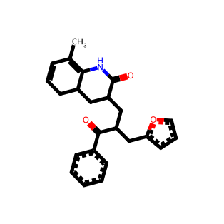 CC1=C2NC(=O)C(CC(Cc3ccco3)C(=O)c3ccccc3)CC2CC=C1